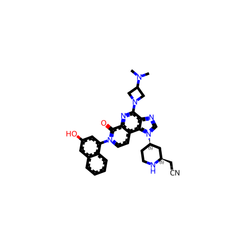 CN(C)C1CN(c2nc3c(=O)n(-c4cc(O)cc5ccccc45)ccc3c3c2ncn3[C@H]2CCN[C@H](CC#N)C2)C1